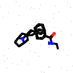 CCNC(=O)c1ccc(C=C2CC3CCC(C2)N3CCc2ccccc2)cc1